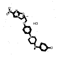 CN(c1ccc(Cl)cc1)C1CCN(c2ccc(OC[C@@]3(C)Cn4cc([N+](=O)[O-])nc4O3)cc2)CC1.Cl